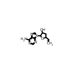 C=CC1CC(O)C(n2cnc3c(N)ncnc32)O1